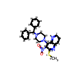 CSc1nc2cccnc2c(N2CCN(C(c3ccccc3)c3ccccc3)CC2)c1[N+](=O)[O-]